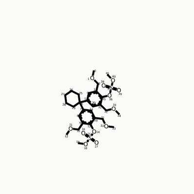 COCc1cc(C2(c3cc(COC)c(OS(=O)(=O)OC)c(COC)c3)CCCCC2)cc(COC)c1OS(=O)(=O)OC